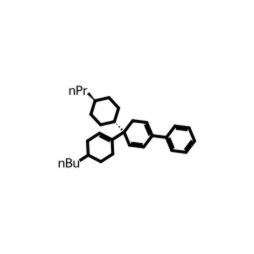 CCCCC1CC=C(C2([C@H]3CC[C@H](CCC)CC3)C=CC(c3ccccc3)=CC2)CC1